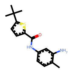 Cc1ccc(NC(=O)c2ccc(C(C)(C)C)s2)cc1N